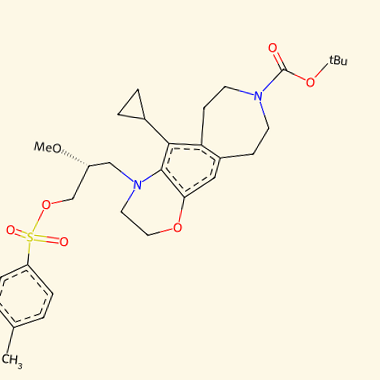 CO[C@@H](COS(=O)(=O)c1ccc(C)cc1)CN1CCOc2cc3c(c(C4CC4)c21)CCN(C(=O)OC(C)(C)C)CC3